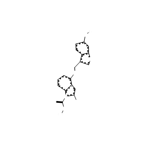 CCOC(=O)c1cc2c(OCc3coc4cc(OCC)ccc34)cccc2n1C(=O)OC(C)(C)C